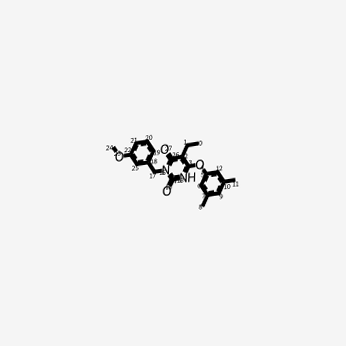 CCc1c(Oc2cc(C)cc(C)c2)[nH]c(=O)n(Cc2cccc(OC)c2)c1=O